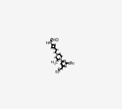 CCOCc1cc(N2CCN(CCC3CC(NC=O)C3)CC2C)nc(C(C)(C)C)n1